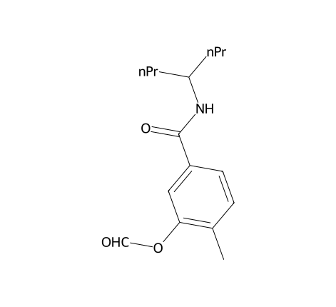 CCCC(CCC)NC(=O)c1ccc(C)c(OC=O)c1